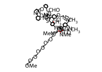 CNCCCC(NC)C(=O)Nc1ccc(C[N+]2(C)CCN(CCOc3ccc(-c4c(-c5ccc(F)cc5)sc5ncnc(OC(C=O)Cc6ccccc6OCc6ccnc(-c7ccccc7OC)n6)c45)c(C)c3Cl)CC2)c(CN(C)C(=O)OCc2cn(CCOCCOCCOCCOCCOCCOCCOCCOC)nn2)c1